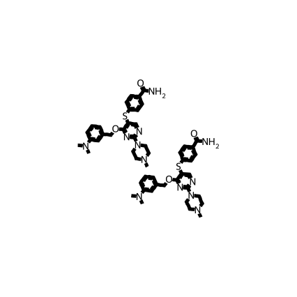 CN1CCN(c2ncc(Sc3ccc(C(N)=O)cc3)c(OCc3cccc(N(C)C)c3)n2)CC1.CN1CCN(c2ncc(Sc3ccc(C(N)=O)cc3)c(OCc3cccc(N(C)C)c3)n2)CC1